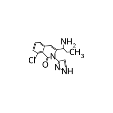 CCC(N)c1cc2cccc(Cl)c2c(=O)n1-c1cc[nH]n1